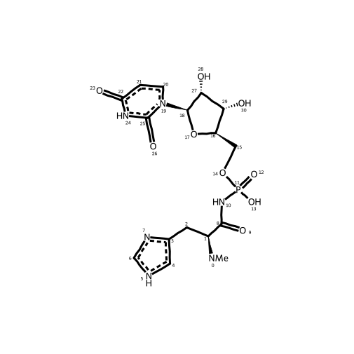 CN[C@@H](Cc1c[nH]cn1)C(=O)NP(=O)(O)OC[C@H]1O[C@@H](n2ccc(=O)[nH]c2=O)[C@H](O)[C@@H]1O